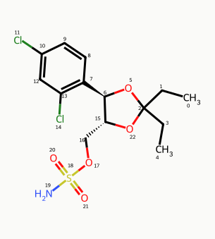 CCC1(CC)O[C@H](c2ccc(Cl)cc2Cl)[C@@H](COS(N)(=O)=O)O1